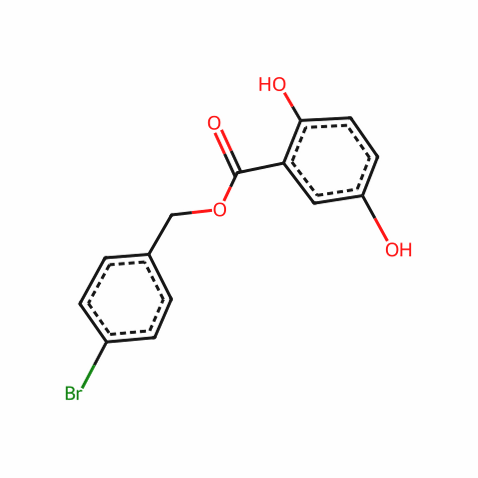 O=C(OCc1ccc(Br)cc1)c1cc(O)ccc1O